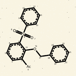 CC(=O)c1cccc(S(=O)(=O)c2ccccc2)c1OCc1ccccc1